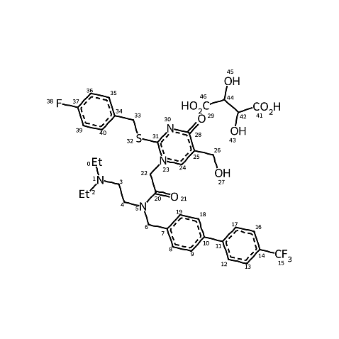 CCN(CC)CCN(Cc1ccc(-c2ccc(C(F)(F)F)cc2)cc1)C(=O)Cn1cc(CO)c(=O)nc1SCc1ccc(F)cc1.O=C(O)C(O)C(O)C(=O)O